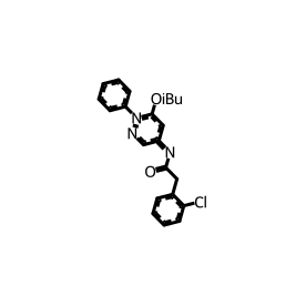 CC(C)COc1cc(=NC(=O)Cc2ccccc2Cl)cnn1-c1ccccc1